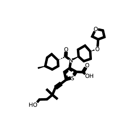 CC(C)(C#Cc1cc(N(C(=O)[C@H]2CC[C@H](C)CC2)[C@H]2CC[C@H](OC3CCOC3)CC2)c(C(=O)O)s1)CCO